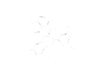 CCN(c1nc(N)nc(N)c1C#N)c1nc2cccc(Cl)c2c(=O)n1-c1cc(F)cc(Cl)c1